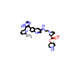 Cc1cccc(-c2[nH]cnc2-c2ccc3ncc(NCCN4CC[C@@H](C(=O)OC5CCNCC5)C4)cc3c2)n1